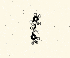 O=C(CC(=O)Nc1cc(Cl)c(Cl)cc1Cl)NCc1ccc([N+](=O)[O-])c(Cl)c1